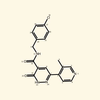 Cc1cnccc1-c1cc(C(=O)NCc2ccc(Cl)cc2)c(=O)[nH]n1